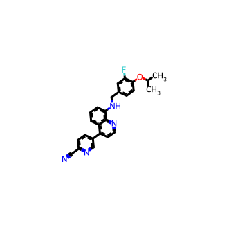 CC(C)Oc1ccc(CNc2cccc3c(-c4ccc(C#N)nc4)ccnc23)cc1F